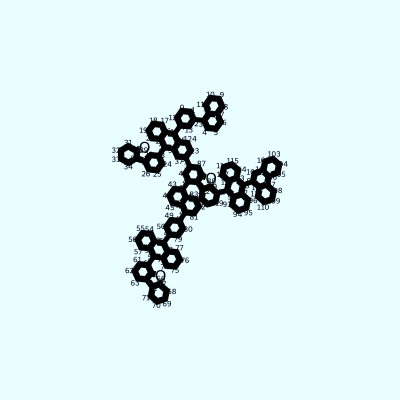 c1cc(-c2cccc3ccccc23)cc(-c2c3ccccc3c(-c3cccc4c3oc3ccccc34)c3cc(-c4cc(-c5cccc6c(-c7ccc(-c8c9ccccc9c(-c9cccc%10c9oc9ccccc9%10)c9ccccc89)cc7)cccc56)c5c(c4)oc4c(-c6c7ccccc7c(-c7cc8ccccc8c8ccccc78)c7ccccc67)cccc45)ccc23)c1